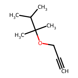 C#CCOC(C)(C)[C](C)C